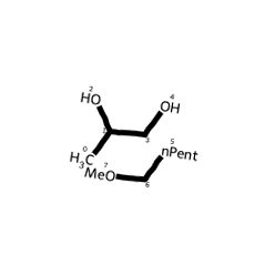 CC(O)CO.CCCCCCOC